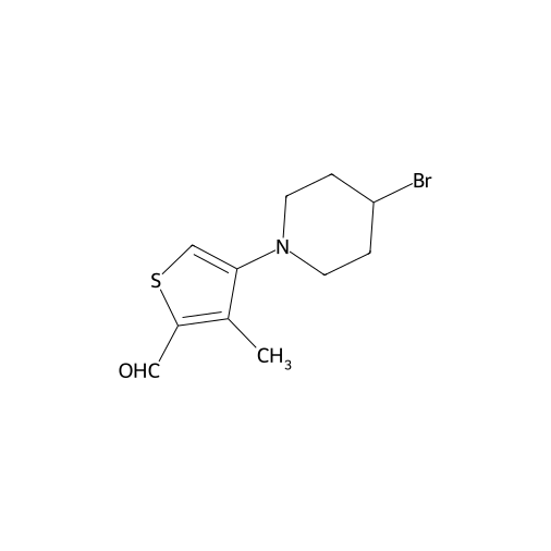 Cc1c(N2CCC(Br)CC2)csc1C=O